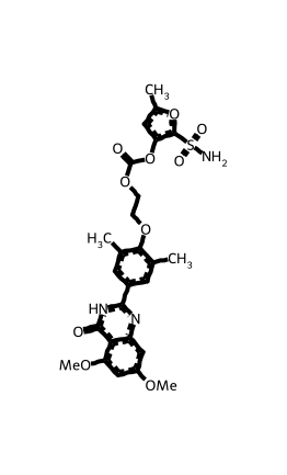 COc1cc(OC)c2c(=O)[nH]c(-c3cc(C)c(OCCOC(=O)Oc4cc(C)oc4S(N)(=O)=O)c(C)c3)nc2c1